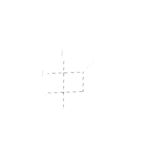 FC1CC(F)([S])C1(F)F